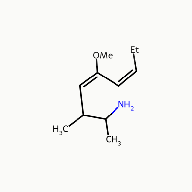 CC/C=C\C(=C/C(C)C(C)N)OC